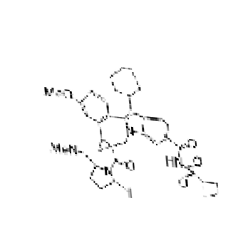 CNCC1CCC(I)N1C(=O)C12CC1c1cc(OC)ccc1-c1c(C3CCCCC3)c3ccc(C(=O)NS(=O)(=O)C4CCC4)cc3n1C2